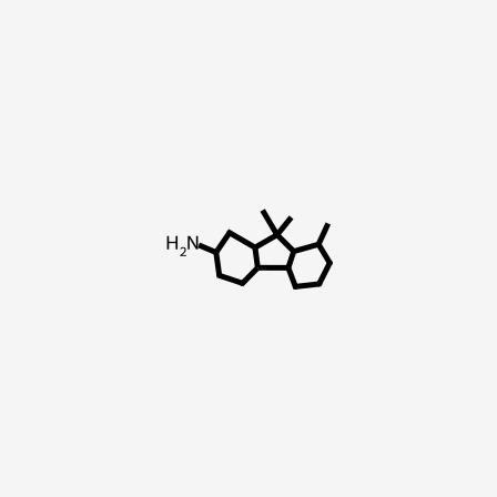 CC1CCCC2C3CCC(N)CC3C(C)(C)C12